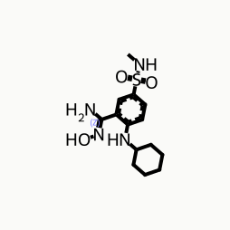 CNS(=O)(=O)c1ccc(NC2CCCCC2)c(/C(N)=N/O)c1